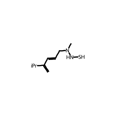 C=C(/C=C/CN(C)NS)C(C)C